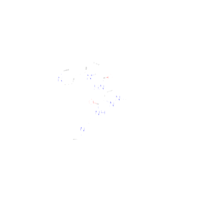 Cn1cc(NC(=O)c2cccc(-c3ccncc3)n2)c(C(=O)NCCN2CCCC2)n1